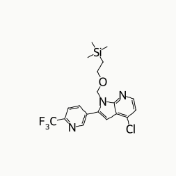 C[Si](C)(C)CCOCn1c(-c2ccc(C(F)(F)F)nc2)cc2c(Cl)ccnc21